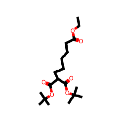 CCOC(=O)CCCCCC(C(=O)OC(C)(C)C)C(=O)OC(C)(C)C